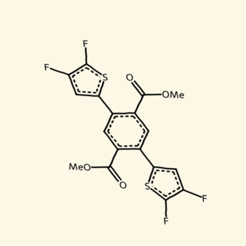 COC(=O)c1cc(-c2cc(F)c(F)s2)c(C(=O)OC)cc1-c1cc(F)c(F)s1